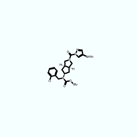 CC(=O)Nc1cnn(C(=O)N2C[C@H]3C[C@@H](N(Cc4ccccc4Cl)C(=O)OC(C)(C)C)C[C@H]3C2)c1